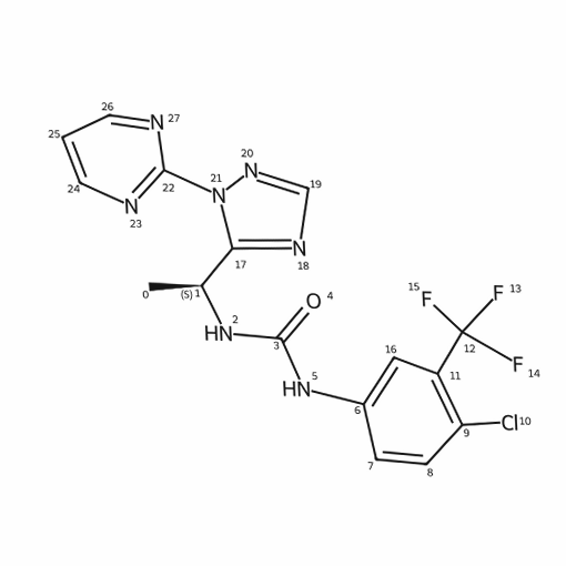 C[C@H](NC(=O)Nc1ccc(Cl)c(C(F)(F)F)c1)c1ncnn1-c1ncccn1